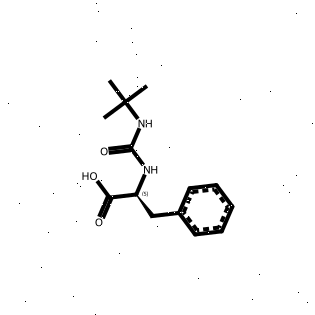 CC(C)(C)NC(=O)N[C@@H](Cc1ccccc1)C(=O)O